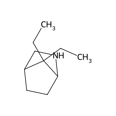 CCC1(CC)C2CCC1NC2